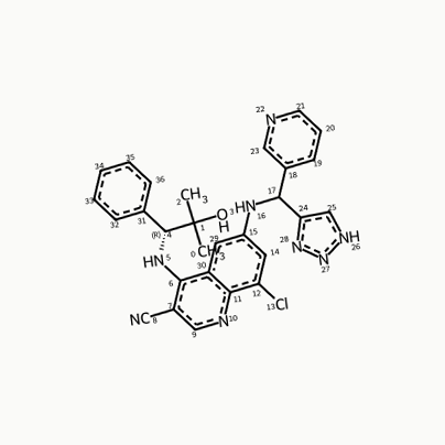 CC(C)(O)[C@H](Nc1c(C#N)cnc2c(Cl)cc(NC(c3cccnc3)c3c[nH]nn3)cc12)c1ccccc1